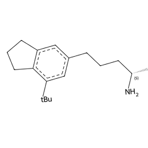 C[C@H](N)CCCc1cc2c(c(C(C)(C)C)c1)CCC2